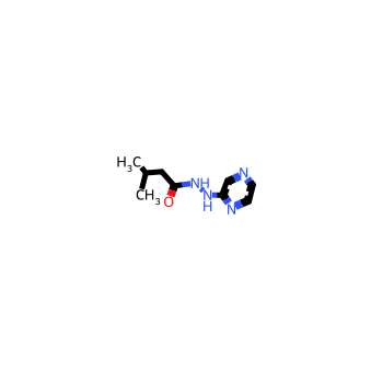 CC(C)CC(=O)NNc1cnccn1